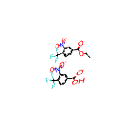 CCOC(=O)c1ccc(C(F)(F)F)c([N+](=O)[O-])c1.O=C(O)c1ccc(C(F)(F)F)c([N+](=O)[O-])c1